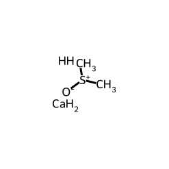 C[S+](C)[O-].[CaH2].[HH]